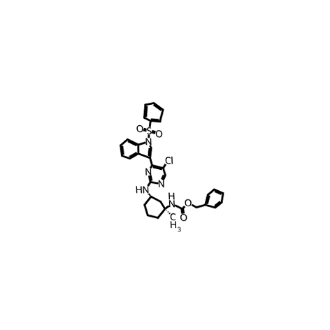 C[C@]1(NC(=O)OCc2ccccc2)CCC[C@@H](Nc2ncc(Cl)c(-c3cn(S(=O)(=O)c4ccccc4)c4ccccc34)n2)C1